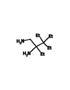 CCC(N)(CN)C(CC)(CC)CC